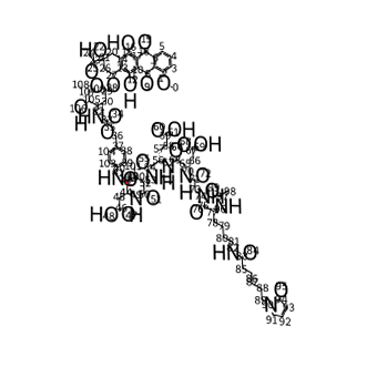 COc1cccc2c1C(=O)c1c(O)c3c(c(O)c1C2=O)C[C@@](O)(C(C)=O)C[C@@H]3O[C@H]1C[C@H](NC(=O)OCc2ccc(NC(=O)[C@H](CC(=O)O)NC(=O)[C@@H](NC(=O)[C@H](CCC(=O)O)NC(=O)[C@H](CC(=O)O)NC(=O)CNC(=O)[C@H](CCCCNC(=O)CCCCCN3CC=CC3=O)NC(C)=O)C(C)C)cc2)[C@H](O)[C@H](C)O1